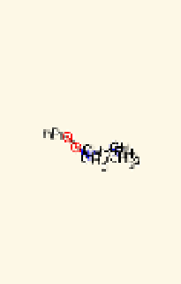 CCCOCCOCC[N+](C)(C)CCCCCC[N+](C)(C)C